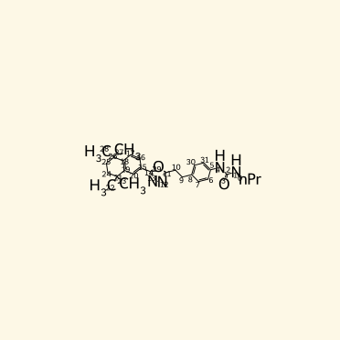 CCCNC(=O)Nc1ccc(CCc2nnc(-c3ccc4c(c3)C(C)(C)CCC4(C)C)o2)cc1